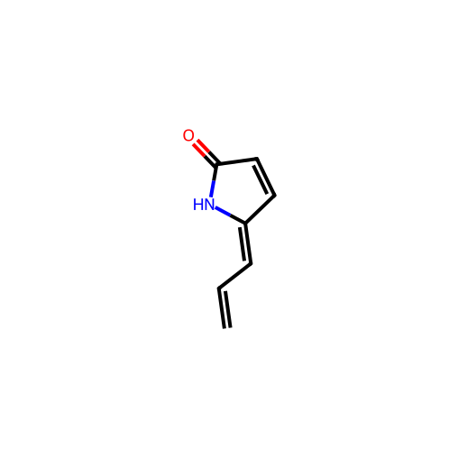 C=CC=C1C=CC(=O)N1